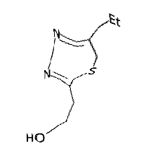 CCc1nnc(CO)s1